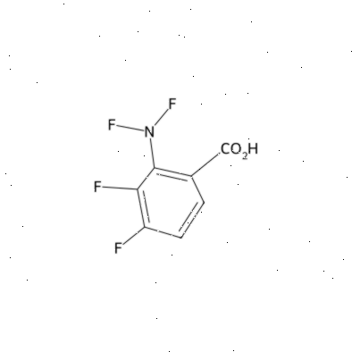 O=C(O)c1ccc(F)c(F)c1N(F)F